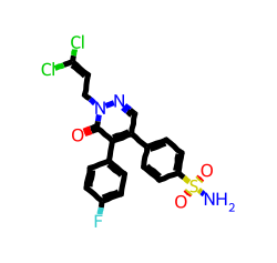 NS(=O)(=O)c1ccc(-c2cnn(CC=C(Cl)Cl)c(=O)c2-c2ccc(F)cc2)cc1